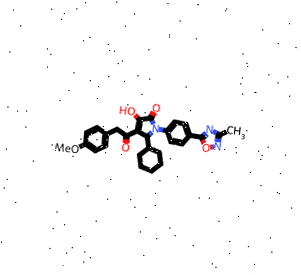 COc1ccc(CC(=O)C2=C(O)C(=O)N(c3ccc(-c4nc(C)no4)cc3)C2C2CCCCC2)cc1